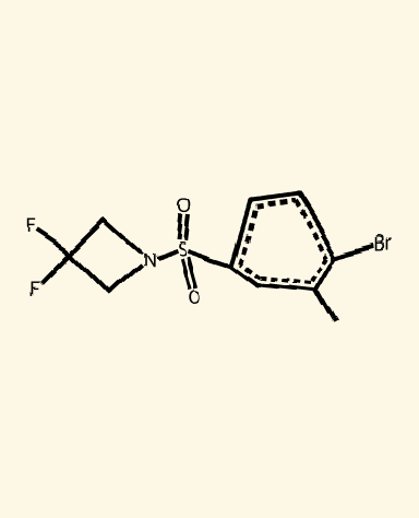 Cc1cc(S(=O)(=O)N2CC(F)(F)C2)ccc1Br